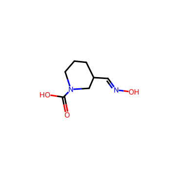 O=C(O)N1CCCC(C=NO)C1